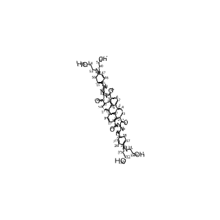 O=C1c2ccc3c4ccc5c6c(ccc(c7ccc(c2c37)C(=O)N1/N=N/c1ccc(N(CCO)CCO)cc1)c64)C(=O)N(/N=N/c1ccc(N(CCO)CCO)cc1)C5=O